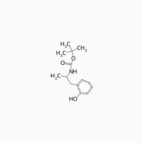 [CH2]C(Cc1ccccc1O)NC(=O)OC(C)(C)C